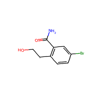 NC(=O)c1cc(Br)ccc1[CH]CO